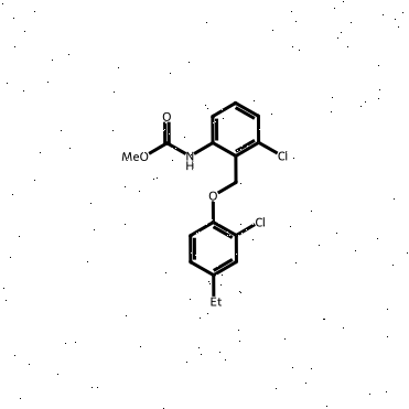 CCc1ccc(OCc2c(Cl)cccc2NC(=O)OC)c(Cl)c1